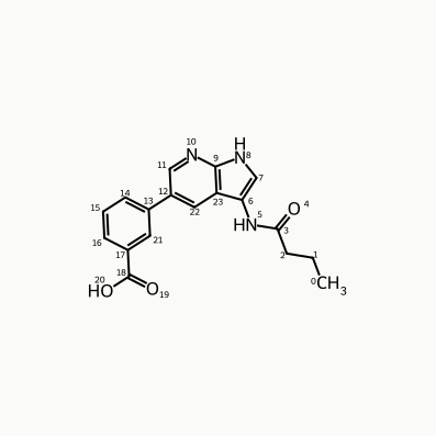 CCCC(=O)Nc1c[nH]c2ncc(-c3cccc(C(=O)O)c3)cc12